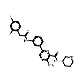 Nc1ncc(-c2cccc(NC(=O)Cc3ccc(F)cc3F)c2)nc1C(=O)N[C@H]1CCCNC1